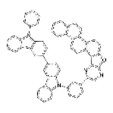 c1ccc(-n2c3ccccc3c3cc(-c4ccc5c(c4)c4ccccc4n5-c4cccc(-c5cnc6oc7ccc8c9ccc%10ccccc%10c9ccc8c7c6n5)c4)ccc32)cc1